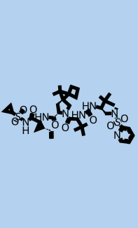 C=C[C@@H]1C[C@]1(NC(=O)[C@@H]1C[C@@]2(CN1C(=O)[C@@H](NC(=O)N[C@H](CN(C)S(=O)(=O)c1ccccn1)C(C)(C)C)C(C)(C)C)C(C)(C)C21CCC1)C(=O)NS(=O)(=O)C1CC1